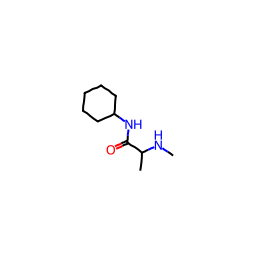 CNC(C)C(=O)NC1CCCCC1